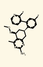 CON=C1C[C@@H](c2ccc(F)cc2-c2cccnc2F)Cc2nc(N)nc(C)c21